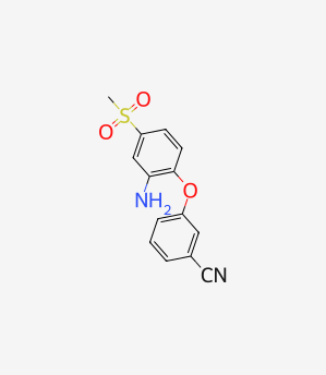 CS(=O)(=O)c1ccc(Oc2cccc(C#N)c2)c(N)c1